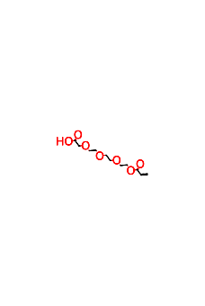 C=CC(=O)OCCOCCOCCOCC(=O)O